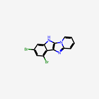 Brc1cc(Br)c2c(c1)[nH]c1c2nc2ccccn21